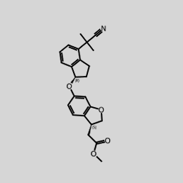 COC(=O)C[C@@H]1COc2cc(O[C@@H]3CCc4c3cccc4C(C)(C)C#N)ccc21